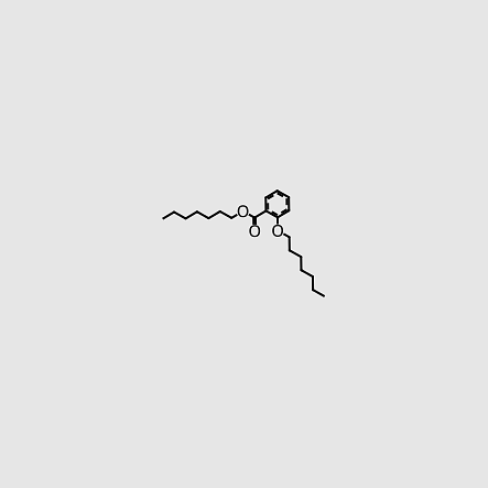 CCCCCCCOC(=O)c1ccccc1OCCCCCCC